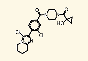 O=C(c1ccc(-c2nc3n(c2Cl)CCCC3)c(Cl)c1)N1CCN(C(=O)C2(O)CC2)CC1